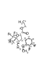 CCOC(=O)[C@H]1O[C@@](C)(C(F)(F)F)[C@@H](C)[C@H]1c1ccc(F)c(F)c1OC